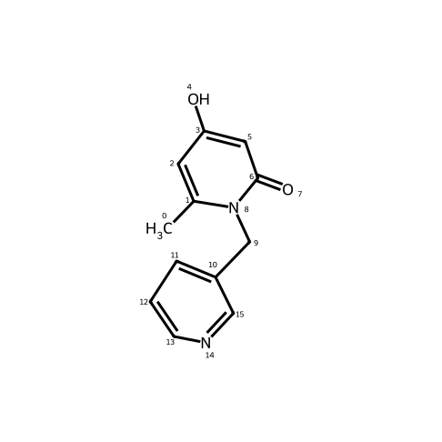 Cc1cc(O)cc(=O)n1Cc1cccnc1